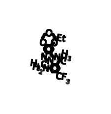 CC[C@H]1COCCOc2cc3nc(C)nc(N[C@H](C)c4cc(N)cc(C(F)(F)F)c4)c3cc2O1